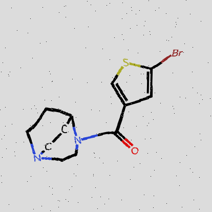 O=C(c1csc(Br)c1)N1CCN2CCC1CC2